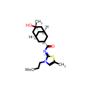 COCCn1cc(C)s/c1=N\C(=O)[C@H]1C[C@H]2C[C@@H](C1)C[C@](C)(O)C2